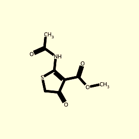 COC(=O)C1=C(NC(C)=O)SCC1=O